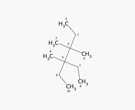 CCC(C)(C)C(C)(CC)CC